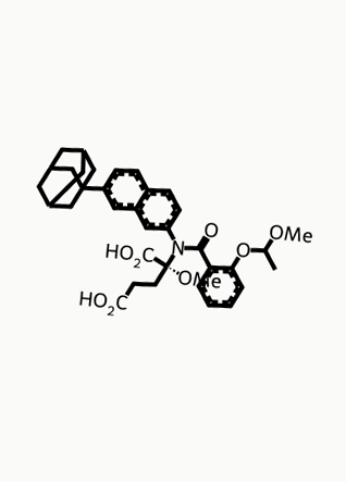 COC(C)Oc1ccccc1C(=O)N(c1ccc2ccc(C34CC5CC(CC(C5)C3)C4)cc2c1)[C@](CCC(=O)O)(OC)C(=O)O